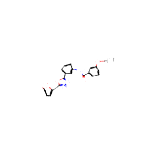 CCOc1cccc(C(=O)Nc2cccc(-c3nnc(-c4ccco4)o3)c2)c1